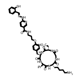 CC(C)C1NC(=O)[C@@H](Cc2ccc(OCCCNC(=O)c3ccc(N/N=C/c4ccccc4S)nc3)cc2)NC(=O)[C@H](CC(=O)O)NC(=O)CNC(=O)[C@H](CCCCCN)NC1=O